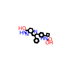 O=C(O)NC1(c2ccc(-c3nc4c(cc3-c3ccccc3)-c3n[nH]c(O)c3CC4)cc2)CCC1